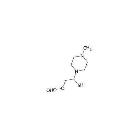 CN1CCN(C(S)COC=O)CC1